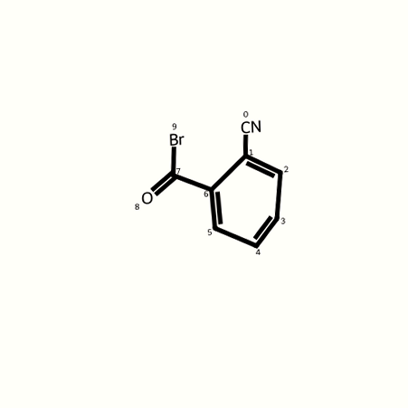 N#Cc1ccccc1C(=O)Br